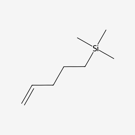 C=CCCC[Si](C)(C)C